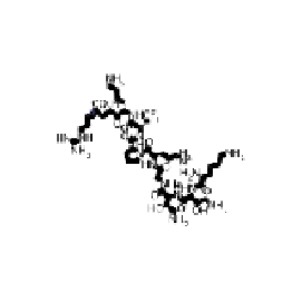 N=C(N)NCC/C=C(\CCC(=O)[C@H](CCCCN)NC(=O)[C@H](CC(F)(F)F)NC(=O)[C@@H]1CCCN1C(=O)[C@@H](CCCN)NC(=O)CNC(=O)[C@@H](NC(=O)[C@@H](NC(=O)[C@@H](N)CCCCN)[C@@H](O)CN)[C@@H](O)CN)C(=O)O